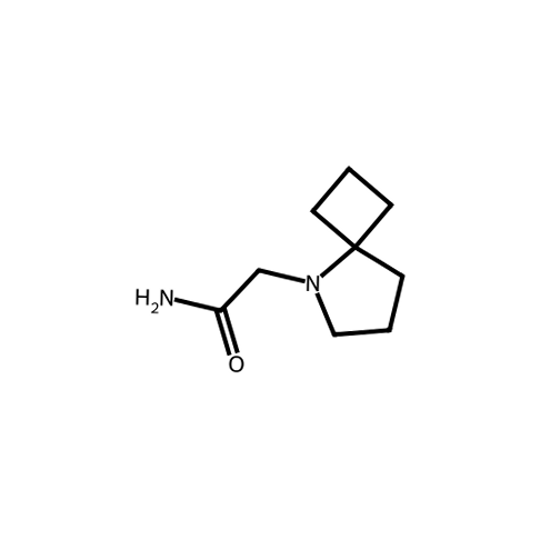 NC(=O)CN1CCCC12CCC2